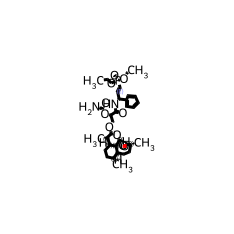 CCOP(=O)(/C=C/C(NC(=O)C(CO[C@H]1O[C@@H]2O[C@@]3(C)CC[C@H]4[C@H](C)CC[C@@H]([C@H]1C)[C@@]24OO3)OC(N)=O)c1ccccc1)OCC